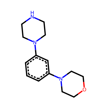 c1cc(N2CCNCC2)cc(N2CCOCC2)c1